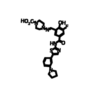 O=C(Nc1ncc(-c2cccc(N3CCCC3)c2)s1)c1cc(F)c(O)c(C=NN2CCN(C(=O)O)CC2)c1